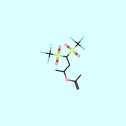 C=C(C)OC(C)CC(S(=O)(=O)C(F)(F)F)S(=O)(=O)C(F)(F)F